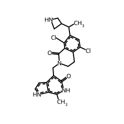 Cc1[nH]c(=O)c(CN2CCc3c(Cl)cc(C(C)C4CNC4)c(Cl)c3C2=O)c2cc[nH]c12